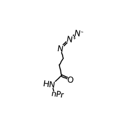 CCCNC(=O)CCN=[N+]=[N-]